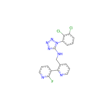 Fc1ncccc1-c1ncccc1CNc1nnnn1-c1cccc(Cl)c1Cl